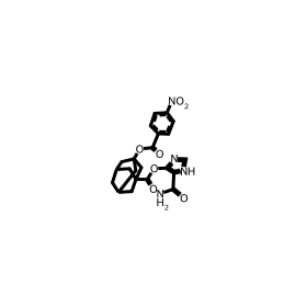 NC(=O)c1[nH]cnc1OC(=O)C12CC3CC(CC(OC(=O)c4ccc([N+](=O)[O-])cc4)(C3)C1)C2